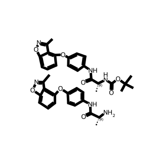 Cc1noc2cccc(Oc3ccc(NC(=O)[C@@H](C)N)cc3)c12.Cc1noc2cccc(Oc3ccc(NC(=O)[C@@H](C)NC(=O)OC(C)(C)C)cc3)c12